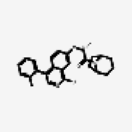 Cc1ccccc1-c1cnc(Cl)c2cc(O[C@H](C)C(=O)N3C4CCCC3CC4)ccc12